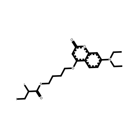 CCN(CC)c1ccc2c(OCCCCSC(=O)C(I)CI)cc(=O)oc2c1